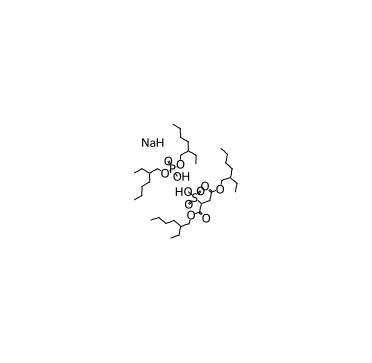 CCCCC(CC)COC(=O)CC(C(=O)OCC(CC)CCCC)S(=O)(=O)O.CCCCC(CC)COP(=O)(O)OCC(CC)CCCC.[NaH]